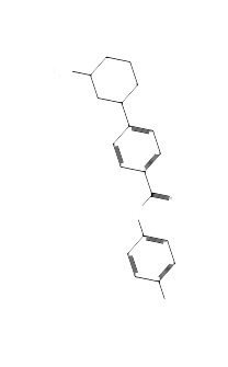 CC1CCCC(c2ccc(C(=O)Oc3ccc(I)cc3)cc2)C1